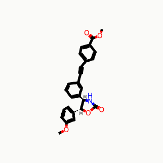 COC(=O)c1ccc(C#Cc2cccc([C@H]3NC(=O)O[C@@H]3c3cccc(OC)c3)c2)cc1